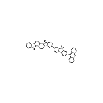 CC1(C)c2cc(-c3ccc4sc5c(ccc6c5ccc5c7ccccc7sc56)c4c3)ccc2-c2ccc(-c3c4ccccc4cc4ccccc34)cc21